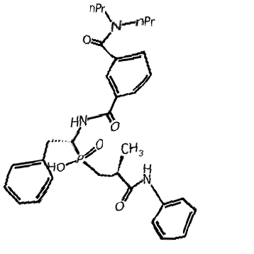 CCCN(CCC)C(=O)c1cccc(C(=O)N[C@@H](Cc2ccccc2)P(=O)(O)C[C@@H](C)C(=O)Nc2ccccc2)c1